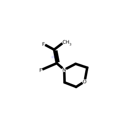 C/C(F)=C(/F)N1CCOCC1